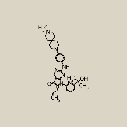 C=CCn1c(=O)c2cnc(Nc3ccc(N4CCC5(CCN(C)CC5)CC4)cc3)nc2n1-c1cccc(C(C)(C)O)n1